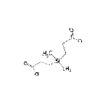 C[Si](C)(CCC(=O)Cl)CCC(=O)Cl